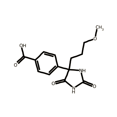 COCCCC1(c2ccc(C(=O)O)cc2)NC(=O)NC1=O